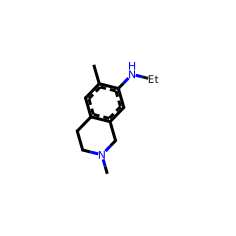 CCNc1cc2c(cc1C)CCN(C)C2